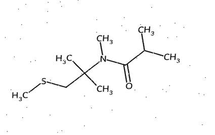 CSCC(C)(C)N(C)C(=O)C(C)C